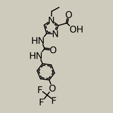 CCn1cc(NC(=O)Nc2ccc(OC(F)(F)F)cc2)nc1C(=O)O